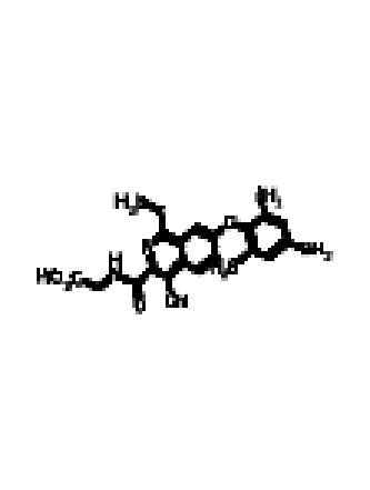 BCc1nc(C(=O)NCC(=O)O)c(O)c2ccc(Oc3c(B)cc(B)cc3B)cc12